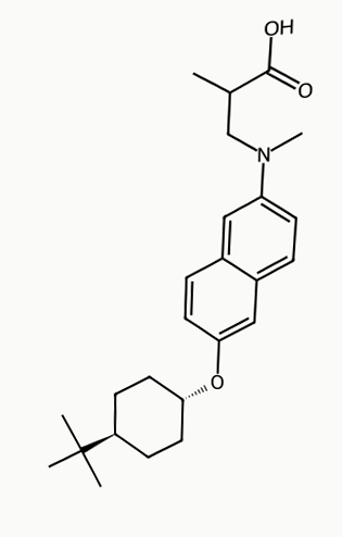 CC(CN(C)c1ccc2cc(O[C@H]3CC[C@H](C(C)(C)C)CC3)ccc2c1)C(=O)O